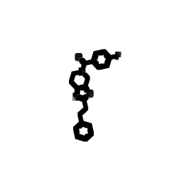 O=C(c1ccc(F)cc1)N1CCc2nc(CCc3ccccc3)oc2C1